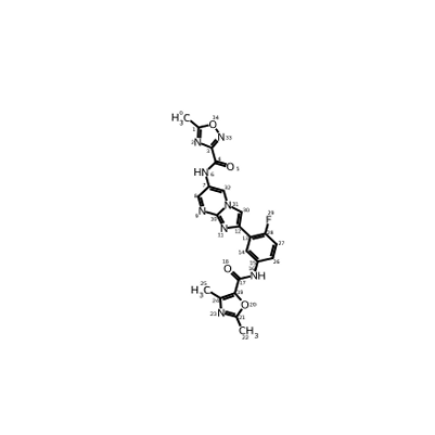 Cc1nc(C(=O)Nc2cnc3nc(-c4cc(NC(=O)c5oc(C)nc5C)ccc4F)cn3c2)no1